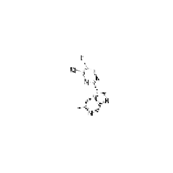 Cc1cn2c(-c3ncc(F)c(Cl)n3)cnc2cn1